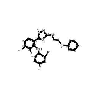 Fc1cc(I)ccc1Nc1c(-c2nnc(NCCOc3ccccc3)o2)ccc(F)c1F